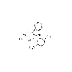 Cc1ccc(N)cc1.O=P(O)(O)Oc1c(Cl)[nH]c2ccccc12